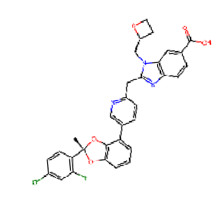 C[C@]1(c2ccc(Cl)cc2F)Oc2cccc(-c3ccc(Cc4nc5ccc(C(=O)O)cc5n4C[C@@H]4CCO4)nc3)c2O1